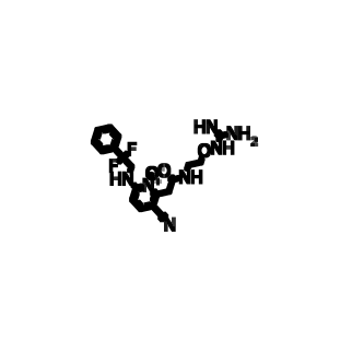 N#Cc1ccc(NCC(F)(F)c2ccccc2)[n+]([O-])c1CC(=O)NCCONC(=N)N